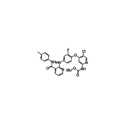 Cc1ccc(NC(=O)c2cccnc2Nc2ccc(Oc3cc(NC(=O)OC(C)(C)C)ncc3Cl)c(F)c2)cc1